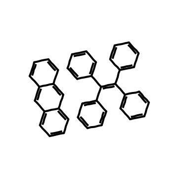 c1ccc(C(=C(c2ccccc2)c2ccccc2)c2ccccc2)cc1.c1ccc2cc3ccccc3cc2c1